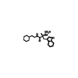 C[C@](Cc1c[nH]c2ccccc12)(NC(=O)O)C(=O)NCCC1CCCCC1